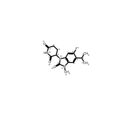 CC(C)c1cc2c(cc1F)n(C1CCC(=O)NC1=O)c(=O)n2C